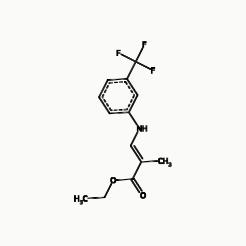 CCOC(=O)/C(C)=C/Nc1cccc(C(F)(F)F)c1